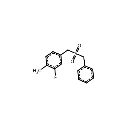 Cc1ccc(CS(=O)(=O)Cc2ccccc2)cc1F